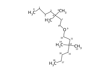 CCCCC(C)(C)CCOCCC(C)(C)CCCC